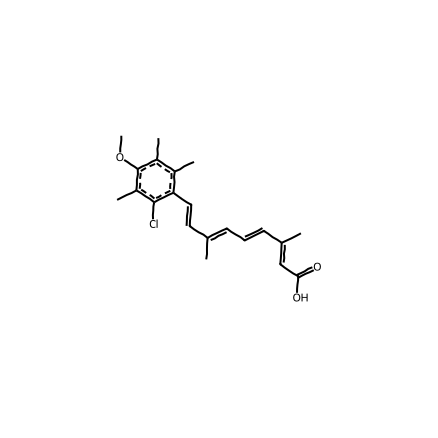 COc1c(C)c(C)c(C=CC(C)=CC=CC(C)=CC(=O)O)c(Cl)c1C